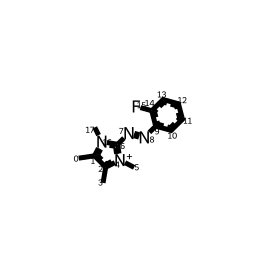 Cc1c(C)[n+](C)c(/N=N/c2ccccc2F)n1C